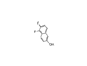 Oc1ccc2c(F)c(F)ccc2c1